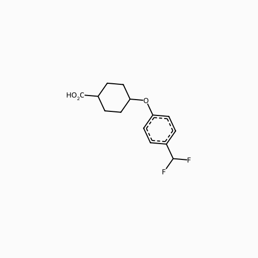 O=C(O)C1CCC(Oc2ccc(C(F)F)cc2)CC1